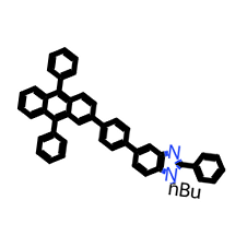 CCCCn1c(-c2ccccc2)nc2cc(-c3ccc(-c4ccc5c(-c6ccccc6)c6ccccc6c(-c6ccccc6)c5c4)cc3)ccc21